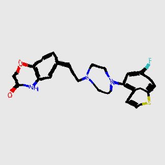 O=C1COc2ccc(CCN3CCN(c4cc(F)cc5sccc45)CC3)cc2N1